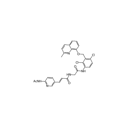 CC(=O)Nc1ccc(C=CC(=O)NCC(=O)Nc2ccc(Cl)c(COc3cccc4ccc(C)nc34)c2Cl)cn1